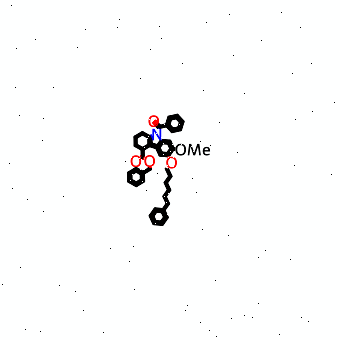 COc1cc2c(cc1OCCCCCCc1ccccc1)c1c(n2C(=O)c2ccccc2)CCCC1C(=O)OCc1ccccc1